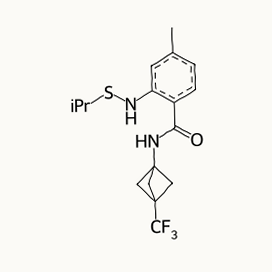 Cc1ccc(C(=O)NC23CC(C(F)(F)F)(C2)C3)c(NSC(C)C)c1